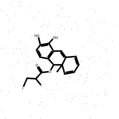 CC12C=CC=CC1=Cc1c(ccc(O)c1O)C2OC(=O)C(I)CI